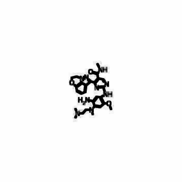 CNC(=O)c1cnc(Nc2cc(N)c(N(C)CCN(C)C)cc2OC)nc1-c1nn2c3c(cccc13)OCC2